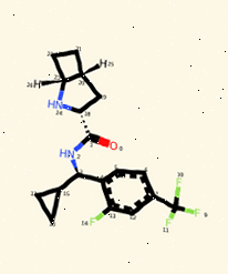 O=C(N[C@@H](c1ccc(C(F)(F)F)cc1F)C1CC1)[C@H]1C[C@H]2CC[C@H]2N1